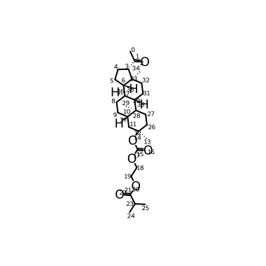 CC(=O)[C@H]1CC[C@H]2[C@@H]3CC[C@H]4C[C@](C)(OC(=O)OCCOC(=O)C(C)C)CC[C@]4(C)[C@H]3CC[C@]12C